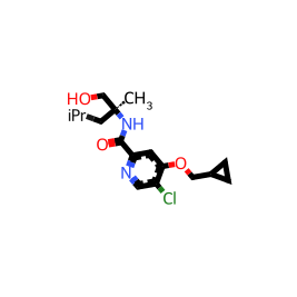 CC(C)C[C@@](C)(CO)NC(=O)c1cc(OCC2CC2)c(Cl)cn1